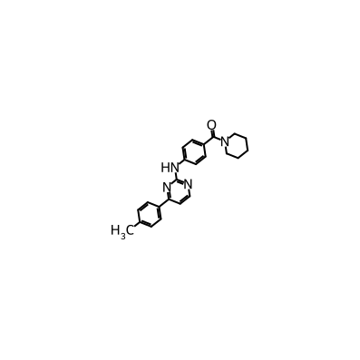 Cc1ccc(-c2ccnc(Nc3ccc(C(=O)N4CCCCC4)cc3)n2)cc1